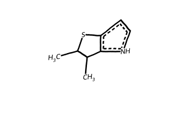 CC1Sc2cc[nH]c2C1C